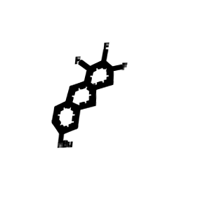 CCCCc1ccc2cc3c(F)c(F)c(F)cc3cc2c1